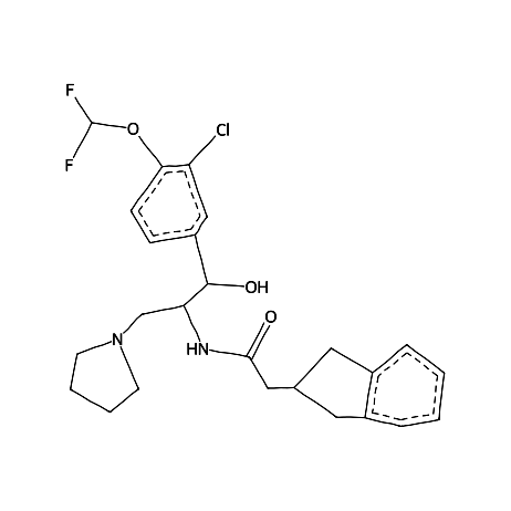 O=C(CC1Cc2ccccc2C1)NC(CN1CCCC1)C(O)c1ccc(OC(F)F)c(Cl)c1